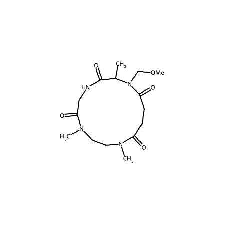 COCN1C(=O)CCC(=O)N(C)CCN(C)C(=O)CNC(=O)C1C